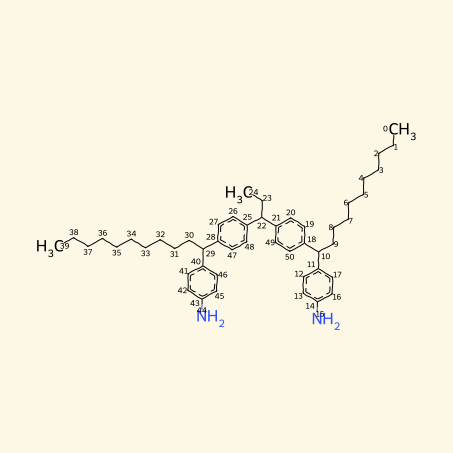 CCCCCCCCCCC(c1ccc(N)cc1)c1ccc(C(CC)c2ccc(C(CCCCCCCCCC)c3ccc(N)cc3)cc2)cc1